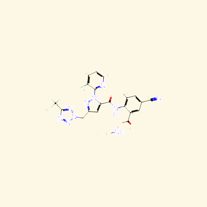 CNOC(=O)c1cc(C#N)cc(C)c1NC(=O)c1cc(Cn2nnc(C(F)(F)F)n2)nn1-c1ncccc1Cl